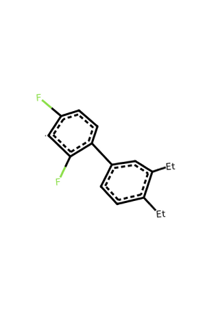 CCc1ccc(-c2ccc(F)[c]c2F)cc1CC